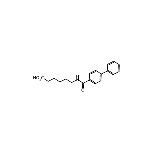 O=C(O)CCCCCNC(=O)c1ccc(-c2ccccc2)cc1